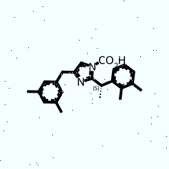 Cc1cc(C)cc(Cc2cn(C(=O)O)c([C@@H](C)c3cccc(C)c3C)n2)c1